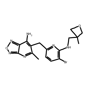 Cc1nc2nonc2c(N)c1Cc1ccc(Br)c(NCC2(C)COC2)n1